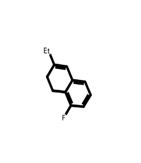 [CH2]CC1=Cc2cccc(F)c2CC1